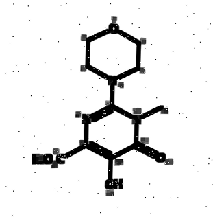 CCOC(=O)c1nc(N2CCOCC2)n(C)c(=O)c1O